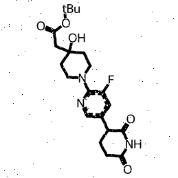 CC(C)(C)OC(=O)CC1(O)CCN(c2ncc(C3CCC(=O)NC3=O)cc2F)CC1